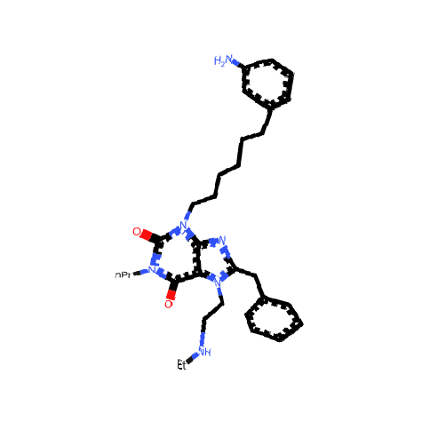 CCCn1c(=O)c2c(nc(Cc3ccccc3)n2CCNCC)n(CCCCCCc2cccc(N)c2)c1=O